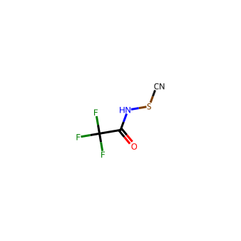 N#CSNC(=O)C(F)(F)F